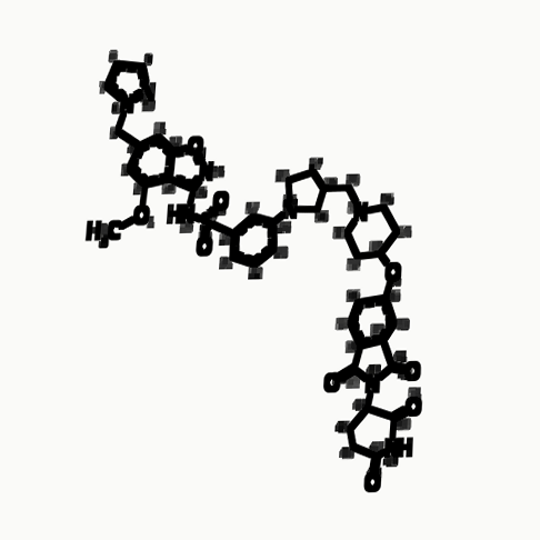 COc1cc(Cn2cccn2)cc2onc(NS(=O)(=O)c3cccc(N4CCC(CN5CCC(Oc6ccc7c(c6)C(=O)N(C6CCC(=O)NC6=O)C7=O)CC5)C4)c3)c12